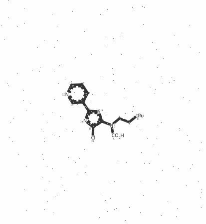 CC(C)(C)CCN(C(=O)O)c1sc(-c2cccnc2)nc1Cl